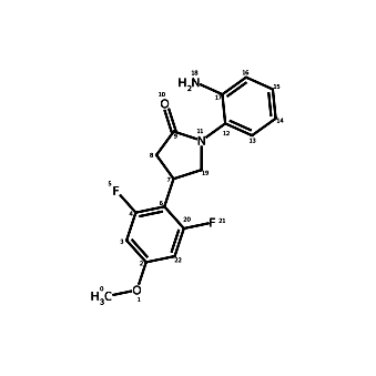 COc1cc(F)c(C2CC(=O)N(c3ccccc3N)C2)c(F)c1